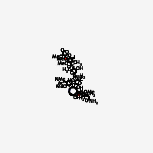 CNC(C(C)=O)C1COC(OC2C(O[C@H]3C#C/C=C\C#C[C@]4(O)CC(=O)C(NC(=O)OC)=C3/C4=C\CSSC(C)(C)CC(N)=O)OC(C)C(NOC3CC(O)C(SC(=O)c4c(C)c(I)c(OC5OC6OC6C(OC)C5O)c(OC)c4OC)C(C)O3)C2O)CC1OC